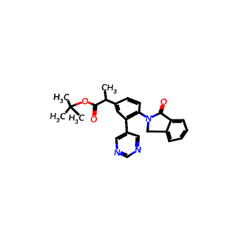 CC(C(=O)OC(C)(C)C)c1ccc(N2Cc3ccccc3C2=O)c(-c2cncnc2)c1